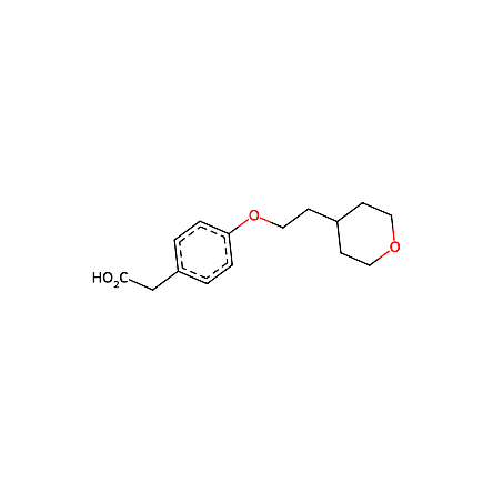 O=C(O)Cc1ccc(OCCC2CCOCC2)cc1